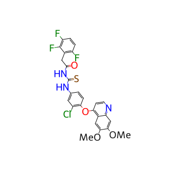 COc1cc2nccc(Oc3ccc(NC(=S)NC(=O)Cc4c(F)ccc(F)c4F)cc3Cl)c2cc1OC